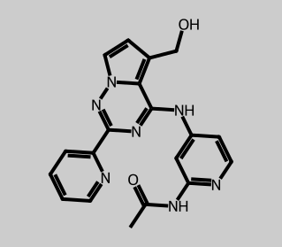 CC(=O)Nc1cc(Nc2nc(-c3ccccn3)nn3ccc(CO)c23)ccn1